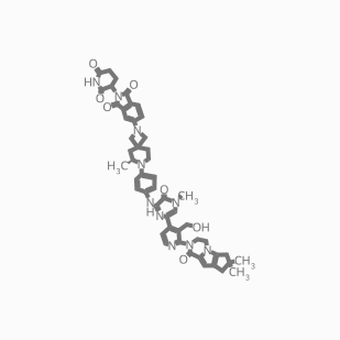 C[C@H]1CC2(CCN1c1ccc(Nc3nc(-c4ccnc(N5CCn6c(cc7c6CC(C)(C)C7)C5=O)c4CO)cn(C)c3=O)cc1)CN(c1ccc3c(c1)C(=O)N(C1CCC(=O)NC1=O)C3=O)C2